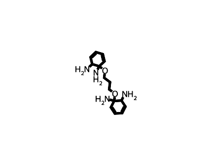 NC1C=CC=CC1(N)OCCCOC1(N)C=CC=CC1N